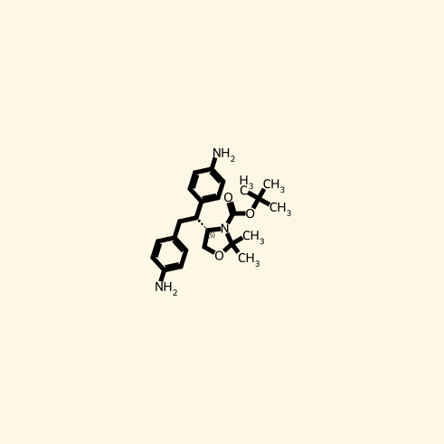 CC(C)(C)OC(=O)N1[C@@H](C(Cc2ccc(N)cc2)c2ccc(N)cc2)COC1(C)C